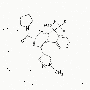 CN1CC(c2cc(C(=O)N3CCCC3)cc3c2-c2ccccc2C3(O)C(F)(F)F)C=N1